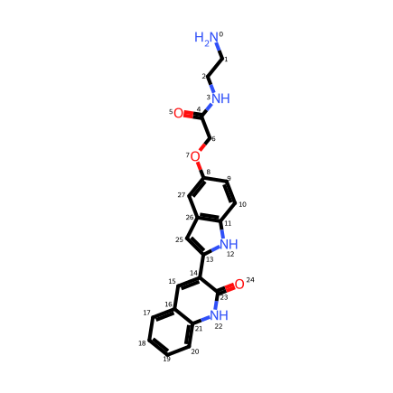 NCCNC(=O)COc1ccc2[nH]c(-c3cc4ccccc4[nH]c3=O)cc2c1